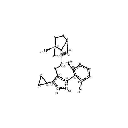 NC1C2CC[C@H]1CC(OCc1c(-c3c(Cl)cccc3Cl)noc1C1CC1)C2